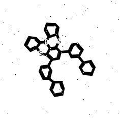 c1ccc(-c2cccc(-c3cc(-c4cccc(-c5ccccc5)c4)c4c5c3Sc3ccccc3B5c3ccccc3S4)c2)cc1